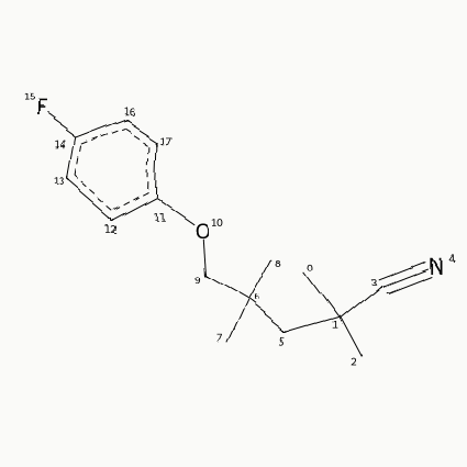 CC(C)(C#N)CC(C)(C)COc1ccc(F)cc1